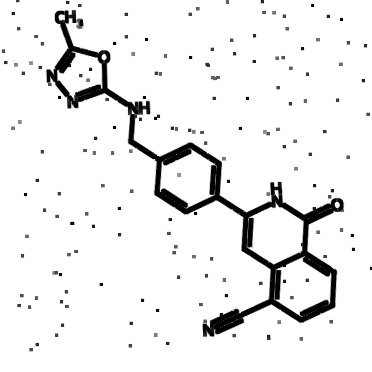 Cc1nnc(NCc2ccc(-c3cc4c(C#N)cccc4c(=O)[nH]3)cc2)o1